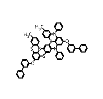 Cc1ccc2c(c1)Sc1cc(Oc3cccc(-c4ccccc4)c3)cc3c1B2c1cc2c(cc1S3)N(c1ccccc1)c1cc(Oc3cccc(-c4ccccc4)c3)cc3c1B2c1ccc(C)cc1N3c1ccccc1